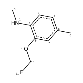 CNc1ccc(C)cc1OCF